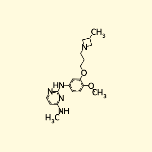 CNc1ccnc(Nc2ccc(OC)c(OCCCN3CC(C)C3)c2)n1